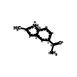 Cc1cc2cc(C(N)=O)ccc2[nH]1